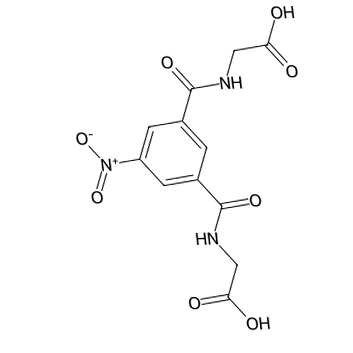 O=C(O)CNC(=O)c1cc(C(=O)NCC(=O)O)cc([N+](=O)[O-])c1